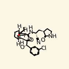 N#C[C@@H](C[C@H]1CCNC1=O)NC(=O)[C@H]1[C@H]2CC[C@H](CC2(F)F)N1C(=O)[C@@H](O)c1cccc(Cl)c1